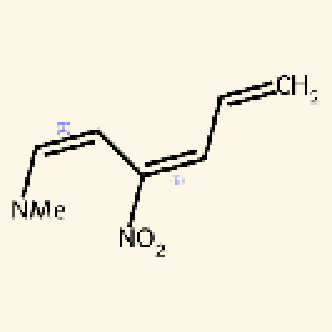 C=C/C=C(\C=C/NC)[N+](=O)[O-]